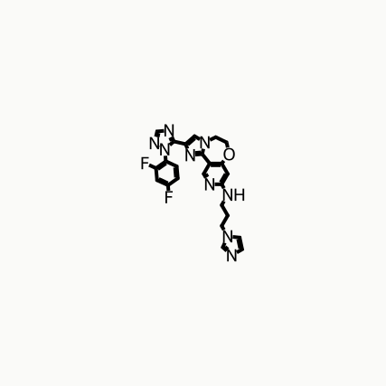 Fc1ccc(-n2ncnc2-c2cn3c(n2)-c2cnc(NCCCn4ccnc4)cc2OCC3)c(F)c1